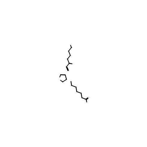 CCCCCC(O)/C=C/[C@H]1CSC[C@H]1CCCCCCC(=O)O